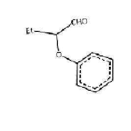 [CH2]CC(C=O)Oc1ccccc1